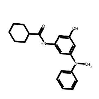 CN(c1ccccc1)c1cc(O)cc(NC(=O)C2CCCCC2)c1